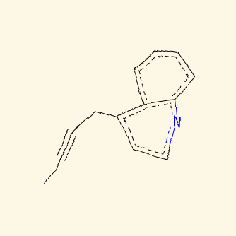 CC#CCc1ccnc2ccccc12